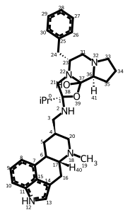 CC(C)[C@]1(NC[C@@H]2CC3c4cccc5[nH]cc(c45)C[C@H]3N(C)C2)CN2[C@H](Cc3ccccc3)CN3CCC[C@H]3C2(O)O1